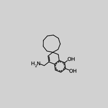 NCC1=CC2(CCCCCCCC2)Cc2c1ccc(O)c2O